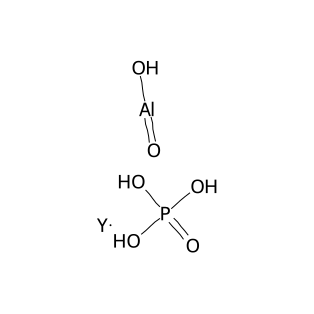 O=P(O)(O)O.[O]=[Al][OH].[Y]